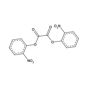 O=C(Oc1ccccc1[N+](=O)[O-])C(=O)Oc1ccccc1[N+](=O)[O-]